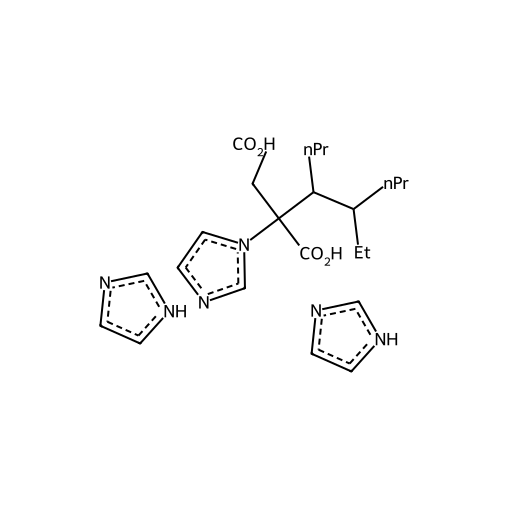 CCCC(CC)C(CCC)C(CC(=O)O)(C(=O)O)n1ccnc1.c1c[nH]cn1.c1c[nH]cn1